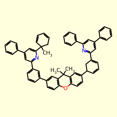 CC1(c2cc(-c3ccccc3)cc(-c3cccc(-c4ccc5c(c4)C(C)(C)c4cc(C6C=CC=C(c7cc(-c8ccccc8)cc(-c8ccccc8)n7)C6)ccc4O5)c3)n2)C=CC=CC1